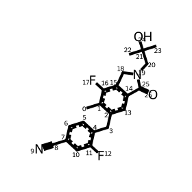 Cc1c(Cc2ccc(C#N)cc2F)cc2c(c1F)CN(CC(C)(C)O)C2=O